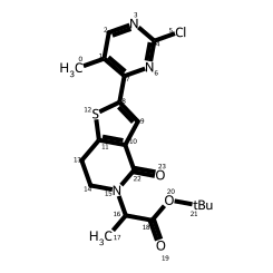 Cc1cnc(Cl)nc1-c1cc2c(s1)CCN(C(C)C(=O)OC(C)(C)C)C2=O